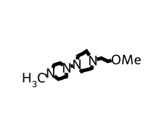 COCCN1CCN(N2CCN(C)CC2)CC1